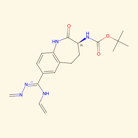 C=CN/C(=N\N=C)c1ccc2c(c1)CC[C@H](NC(=O)OC(C)(C)C)C(=O)N2